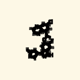 CC(Oc1cc2c(-c3cnn(C)c3)n[nH]c2cc1F)c1cc(Cl)cc2nccnc12